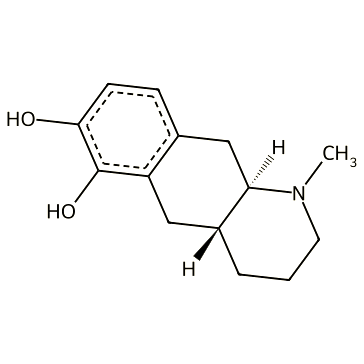 CN1CCC[C@@H]2Cc3c(ccc(O)c3O)C[C@H]21